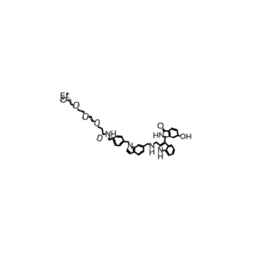 CCOCCOCCOCCOCCC(=O)NCc1ccc(Cn2ccc3ccc(CNCc4[nH]c5ccccc5c4C4NC(=O)c5ccc(O)cc54)cc32)cc1